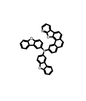 c1ccc2c(c1)oc1ccc(N(c3ccc4oc5ccccc5c4c3)c3ccc4ccc5ccc6c7cccnc7oc6c5c4c3)cc12